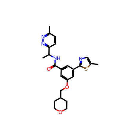 Cc1ccc(C(C)NC(=O)c2cc(OCC3CCOCC3)cc(-c3ncc(C)s3)c2)nn1